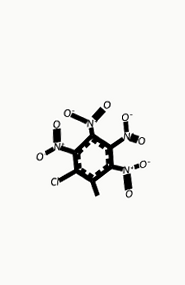 Cc1c(Cl)c([N+](=O)[O-])c([N+](=O)[O-])c([N+](=O)[O-])c1[N+](=O)[O-]